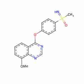 COc1cccc2c(Oc3ccc(S(C)(=N)=O)cc3)ncnc12